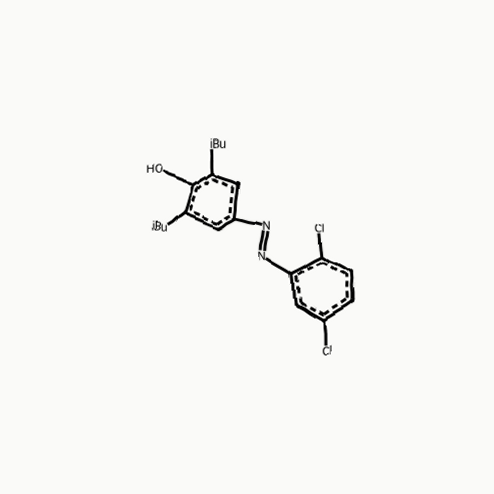 CCC(C)c1cc(/N=N/c2cc(Cl)ccc2Cl)cc(C(C)CC)c1O